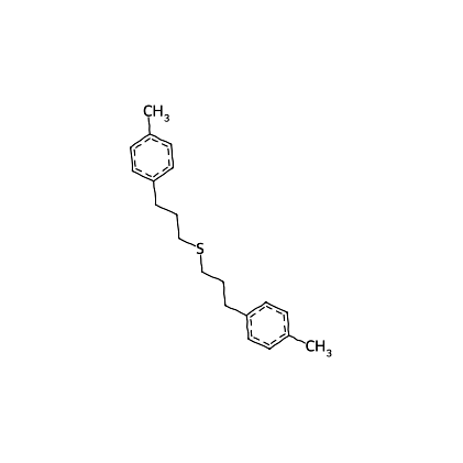 Cc1ccc(CCCSCCCc2ccc(C)cc2)cc1